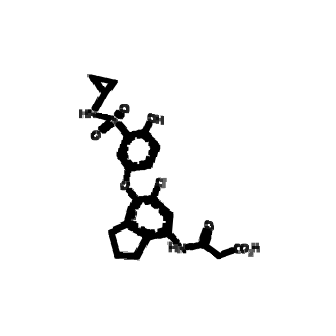 O=C(O)CC(=O)Nc1cc(Cl)c(Oc2ccc(O)c(S(=O)(=O)NC3CC3)c2)c2c1CCC2